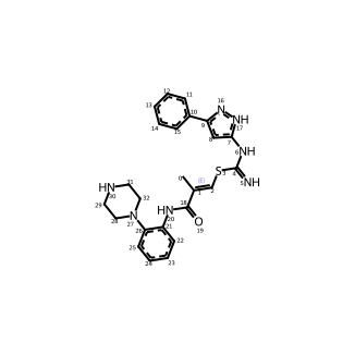 C/C(=C\SC(=N)Nc1cc(-c2ccccc2)n[nH]1)C(=O)Nc1ccccc1N1CCNCC1